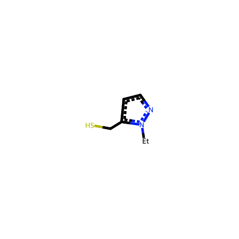 CCn1nccc1CS